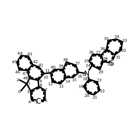 CC1(C)c2ccccc2-c2c(-c3ccc4cc(N(c5ccccc5)c5ccc6c(c5)sc5ccccc56)ccc4c3)cc3ccccc3c21